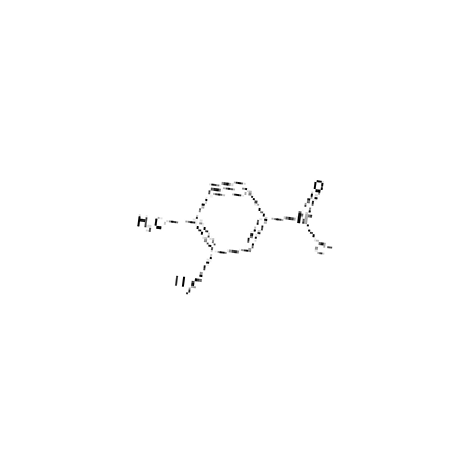 Cc1c#cc([N+](=O)[O-])cc1C